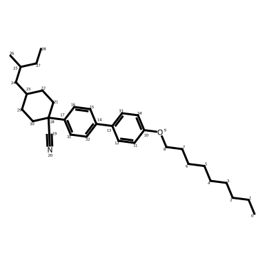 CCCCCCCCCOc1ccc(-c2ccc(C3(C#N)CCC(CC(C)CC)CC3)cc2)cc1